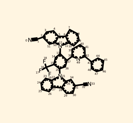 N#Cc1ccc2c3ccccc3n(-c3cc(C(F)(F)F)c(-n4c5ccccc5c5ccc(C#N)cc54)cc3-c3cccc(-c4ccccc4)n3)c2c1